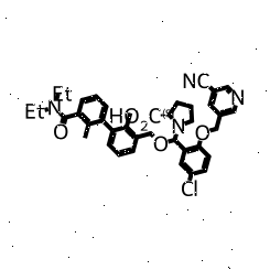 CCN(CC)C(=O)c1cccc(-c2cccc(COC(c3cc(Cl)ccc3OCc3cncc(C#N)c3)N3CCC[C@H]3C(=O)O)c2C)c1C